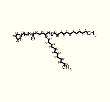 CCCCCCCCCCCCSCC(CCCC(=O)NCCN1CCCC1)SCCCCCCCCCCCC